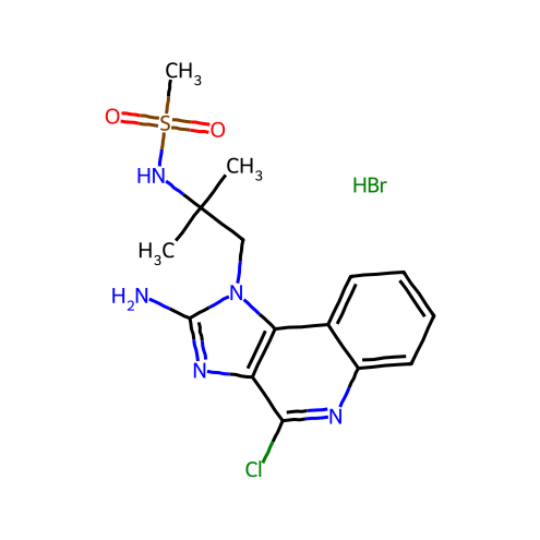 Br.CC(C)(Cn1c(N)nc2c(Cl)nc3ccccc3c21)NS(C)(=O)=O